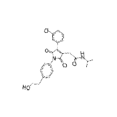 CC(C)NC(=O)CC1=C(c2cccc(Cl)c2)C(=O)N(c2ccc(CCO)cc2)C1=O